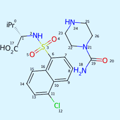 CC(C)[C@H](NS(=O)(=O)c1cccc2c(Cl)cccc12)C(=O)O.NC(=O)N1CCNCC1